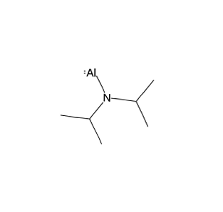 CC(C)[N]([Al])C(C)C